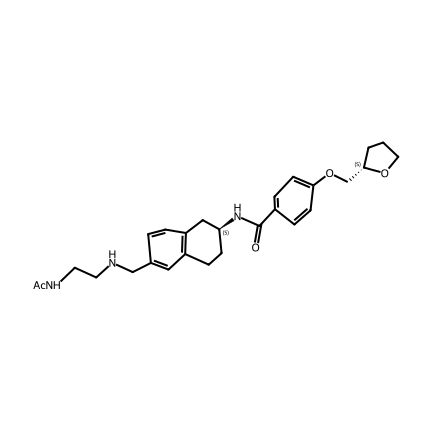 CC(=O)NCCNCc1ccc2c(c1)CC[C@H](NC(=O)c1ccc(OC[C@@H]3CCCO3)cc1)C2